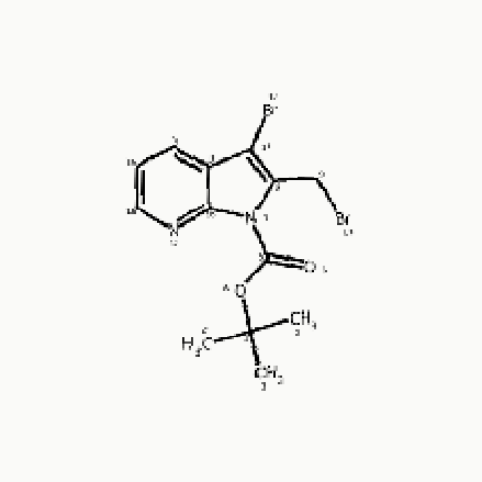 CC(C)(C)OC(=O)n1c(CBr)c(Br)c2cccnc21